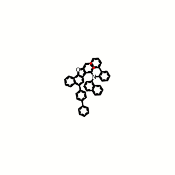 c1ccc(-c2ccc(-c3cc4c(oc5cccc(N(c6ccccc6-c6ccccc6)c6cccc7ccccc67)c54)c4ccccc34)cc2)cc1